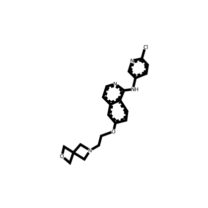 Clc1ccc(Nc2nccc3cc(OCCN4CC5(COC5)C4)ccc23)cn1